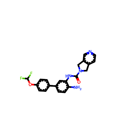 Nc1ccc(-c2ccc(OC(F)F)cc2)cc1NC(=O)N1Cc2ccncc2C1